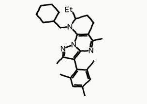 CCC1CCc2c(C)nc3c(-c4c(C)cc(C)cc4C)c(C)nn3c2N1CC1CCCCC1